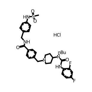 CCCCN(C(=O)Nc1ccc(F)cc1F)C1CCN(Cc2ccc(C(=O)NCc3ccc(NS(C)(=O)=O)cc3)cc2)CC1.Cl